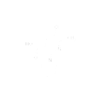 Cc1nc(N2CCCCC2)c(C(=O)O)cc1Cl